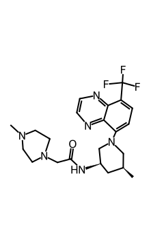 C[C@H]1C[C@@H](NC(=O)CN2CCN(C)CC2)CN(c2ccc(C(F)(F)F)c3nccnc23)C1